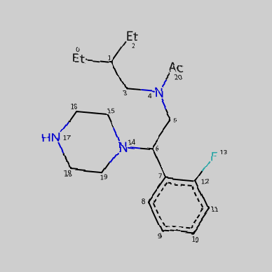 CCC(CC)CN(CC(c1ccccc1F)N1CCNCC1)C(C)=O